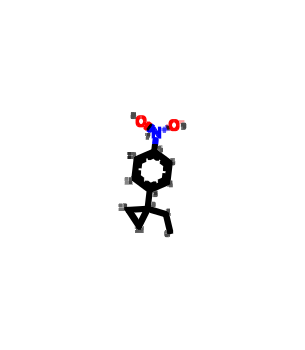 CCC1(c2ccc([N+](=O)[O-])cc2)CC1